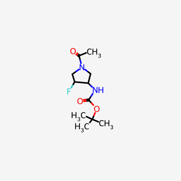 CC(=O)N1CC(F)C(NC(=O)OC(C)(C)C)C1